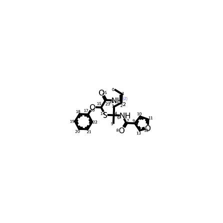 C/C=C\CC(C)(NC(=O)c1ccoc1)SC(Oc1ccccc1)C(N)=O